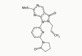 C=CCn1c(=O)c2cnc(SC)nc2n1-c1cccc(N2CCCC2=O)n1